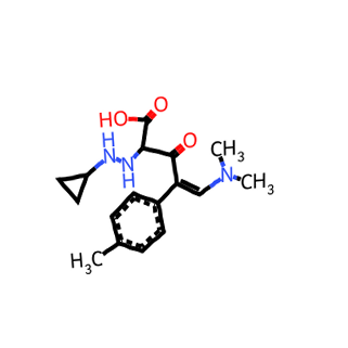 Cc1ccc(C(=CN(C)C)C(=O)C(NNC2CC2)C(=O)O)cc1